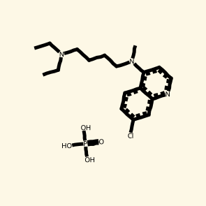 CCN(CC)CCCCN(C)c1ccnc2cc(Cl)ccc12.O=P(O)(O)O